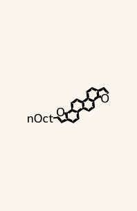 CCCCCCCCc1cc2ccc3c4ccc5c(ccc6ccoc65)c4ccc3c2o1